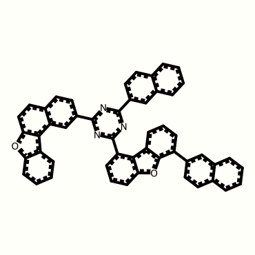 c1ccc2cc(-c3nc(-c4ccc5ccc6oc7ccccc7c6c5c4)nc(-c4cccc5oc6c(-c7ccc8ccccc8c7)cccc6c45)n3)ccc2c1